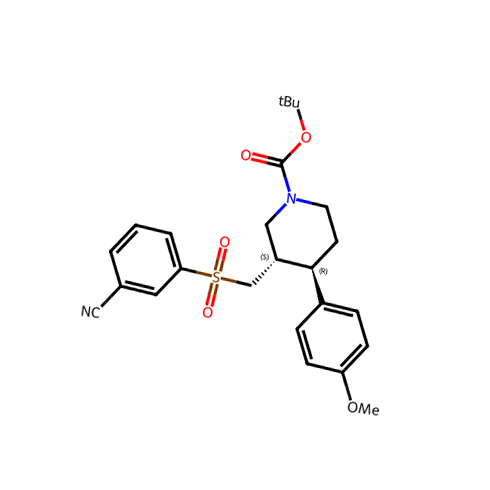 COc1ccc([C@@H]2CCN(C(=O)OC(C)(C)C)C[C@H]2CS(=O)(=O)c2cccc(C#N)c2)cc1